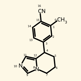 Cc1cc(C2CCCn3cncc32)ccc1C#N